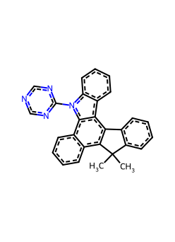 CC1(C)c2ccccc2-c2c1c1ccccc1c1c2c2ccccc2n1-c1ncncn1